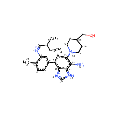 CCC(C)/C=N\c1cc(-c2cc(N3CCC(CO)CC3)c(N)c3[nH]cnc23)ccc1C